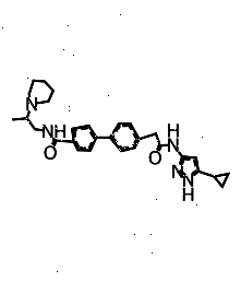 CC(CNC(=O)c1ccc(-c2ccc(CC(=O)Nc3cc(C4CC4)[nH]n3)cc2)cc1)N1CCCCC1